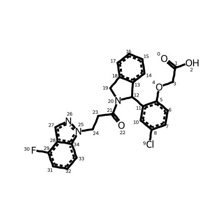 O=C(O)COc1ccc(Cl)cc1C1c2ccccc2CN1C(=O)CCn1ncc2c(F)cccc21